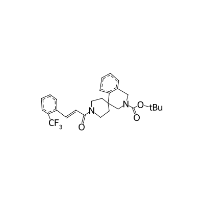 CC(C)(C)OC(=O)N1Cc2ccccc2C2(CCN(C(=O)C=Cc3ccccc3C(F)(F)F)CC2)C1